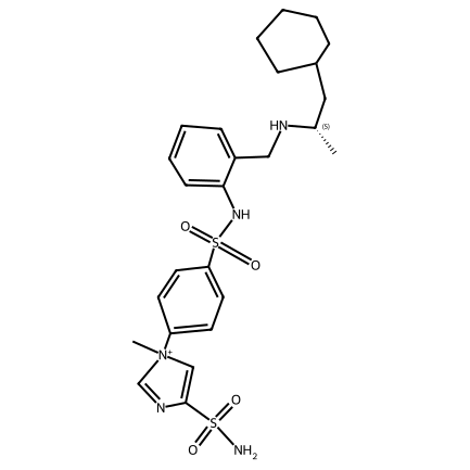 C[C@@H](CC1CCCCC1)NCc1ccccc1NS(=O)(=O)c1ccc([N+]2(C)C=NC(S(N)(=O)=O)=C2)cc1